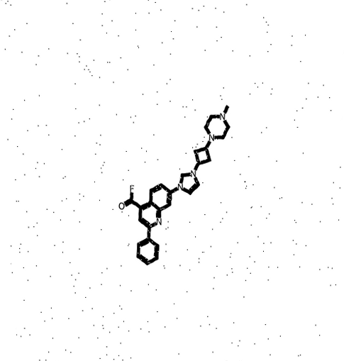 CN1CCN(C2CC(N3C=CN(c4ccc5c(C(=O)F)cc(-c6ccccc6)nc5c4)C3)C2)CC1